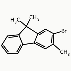 Cc1cc2c(cc1Br)C(C)(C)c1ccccc1-2